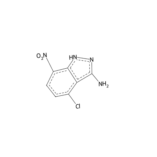 Nc1n[nH]c2c([N+](=O)[O-])ccc(Cl)c12